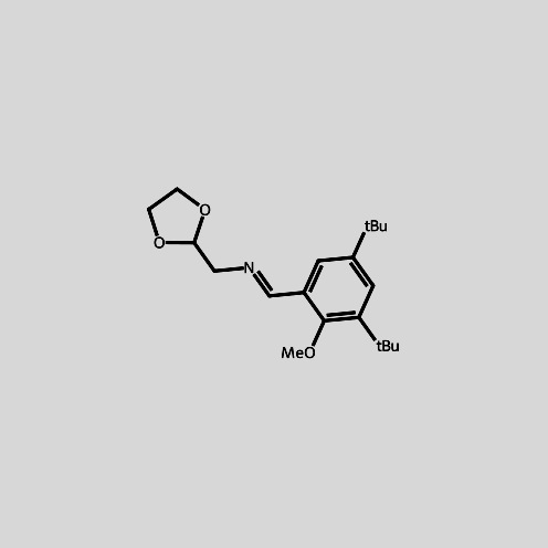 COc1c(/C=N/CC2OCCO2)cc(C(C)(C)C)cc1C(C)(C)C